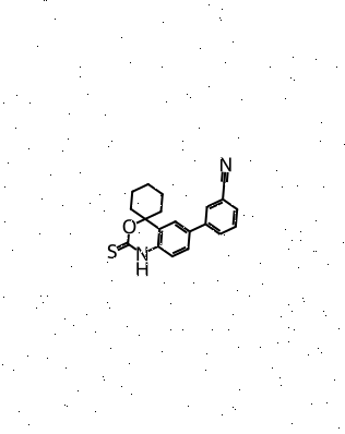 N#Cc1cccc(-c2ccc3c(c2)C2(CCCCC2)OC(=S)N3)c1